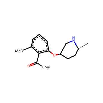 COC(=O)c1c(OC)cccc1O[C@@H]1CC[C@@H](C)NC1